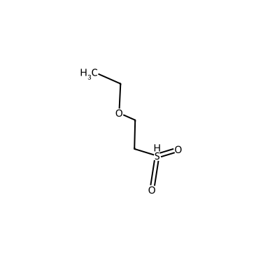 CCOCC[SH](=O)=O